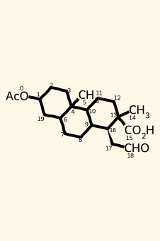 CC(=O)OC1CCC2(C)C(CCC3C2CCC(C)(C(=O)O)[C@H]3CC=O)C1